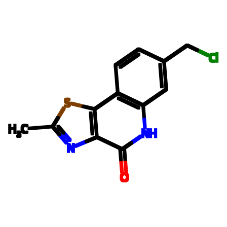 Cc1nc2c(=O)[nH]c3cc(CCl)ccc3c2s1